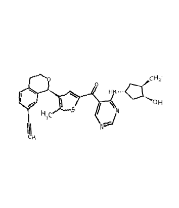 C#Cc1ccc2c(c1)[C@H](c1cc(C(=O)c3cncnc3N[C@@H]3C[C@@H]([CH2])[C@@H](O)C3)sc1C)OCC2